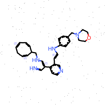 N=C/C(=C\NCC1C=C/C=C\C/C=C\1)c1ccncc1/C=C/Nc1ccc(CN2CCOCC2)cc1